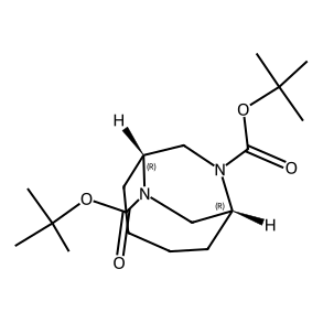 CC(C)(C)OC(=O)N1C[C@H]2CCCC[C@@H]1CN2C(=O)OC(C)(C)C